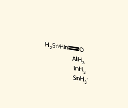 [AlH3].[InH3].[O]=[InH].[SnH2].[SnH2]